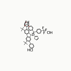 CC(C)(C)c1cc2c(cc1-c1ccccc1)[CH]([Zr]([C]1=CC=CC1)=[C](c1ccc(C(F)(F)F)cc1)c1ccc(C(F)(F)F)cc1)c1cc(-c3ccccc3)c(C(C)(C)C)cc1-2.Cl.Cl